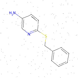 Nc1ccc(SCc2ccccc2)nc1